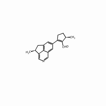 C[C@@H]1CCC(c2cc3c4c(cncc4c2)[C@@H](C)C3)=C1C=O